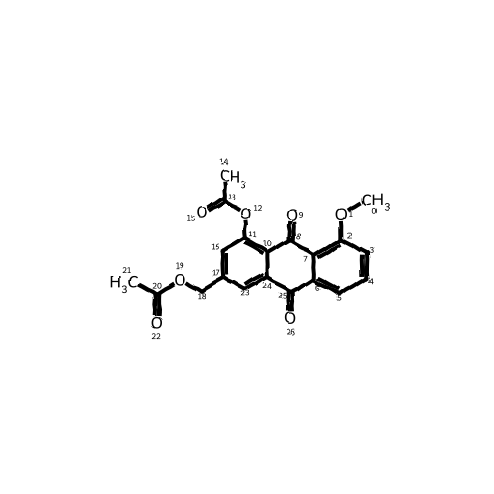 COc1cccc2c1C(=O)c1c(OC(C)=O)cc(COC(C)=O)cc1C2=O